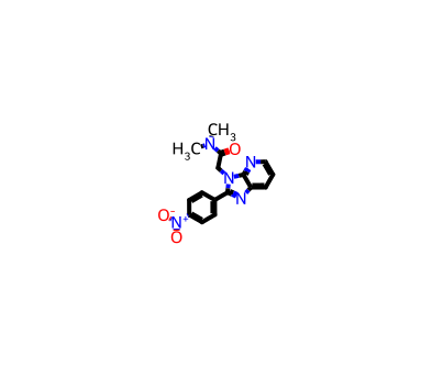 CN(C)C(=O)Cn1c(-c2ccc([N+](=O)[O-])cc2)nc2cccnc21